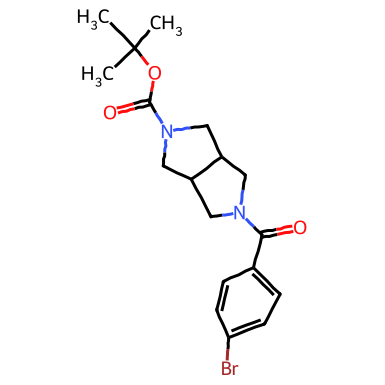 CC(C)(C)OC(=O)N1CC2CN(C(=O)c3ccc(Br)cc3)CC2C1